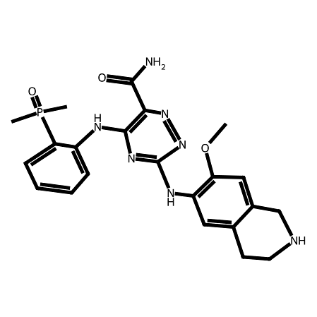 COc1cc2c(cc1Nc1nnc(C(N)=O)c(Nc3ccccc3P(C)(C)=O)n1)CCNC2